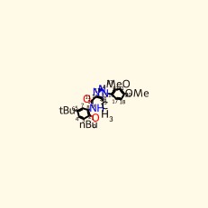 CCCCOc1ccc(C(C)(C)C)cc1NC(=O)c1nnn(-c2ccc(OC)cc2OC)c1C